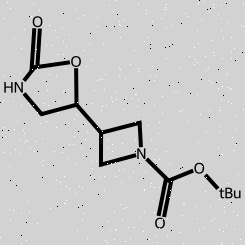 CC(C)(C)OC(=O)N1CC(C2CNC(=O)O2)C1